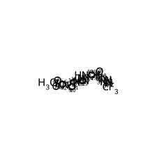 CS(=O)(=O)C1CCN(c2cccc3c2ccn3-c2ccnc(NC3CCC(C(=O)N4CCn5c(nnc5C(F)(F)F)C4)CC3)n2)CC1